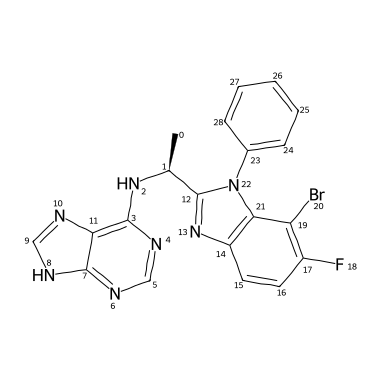 C[C@H](Nc1ncnc2[nH]cnc12)c1nc2ccc(F)c(Br)c2n1-c1ccccc1